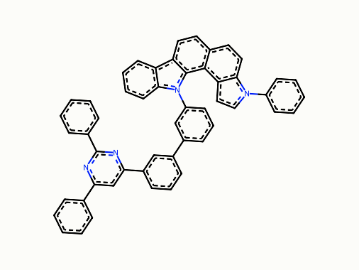 c1ccc(-c2cc(-c3cccc(-c4cccc(-n5c6ccccc6c6ccc7ccc8c(ccn8-c8ccccc8)c7c65)c4)c3)nc(-c3ccccc3)n2)cc1